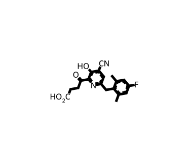 Cc1cc(F)cc(C)c1Cc1cc(C#N)c(O)c(C(=O)CCC(=O)O)n1